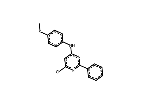 CSc1ccc(Nc2cc(Cl)nc(-c3ccccc3)n2)cc1